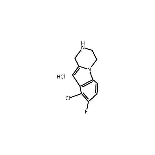 Cl.Fc1ccc2c(cc3n2CCNC3)c1Cl